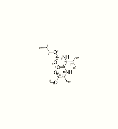 C=CCOC(=O)NC(C(=O)N[C@@H](C)C(=O)OC)C(C)C